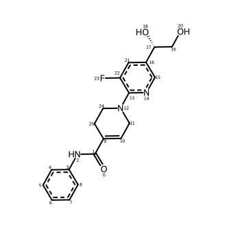 O=C(Nc1ccccc1)C1=CCN(c2ncc([C@H](O)CO)cc2F)CC1